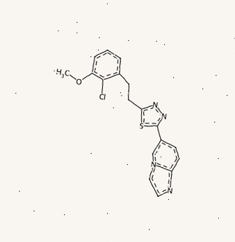 COc1cccc(CCc2nnc(-c3ccc4nccn4c3)s2)c1Cl